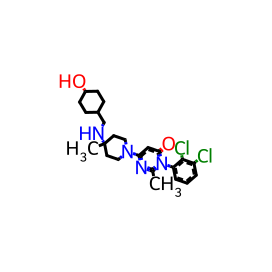 Cc1nc(N2CCC(C)(NCC3CCC(O)CC3)CC2)cc(=O)n1-c1cccc(Cl)c1Cl